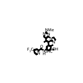 CNc1ncc2c(n1)N1CCN=C1C(c1cc(NC(=O)c3cc(C(F)(F)F)ccn3)ccc1C)=C2C.O=CO